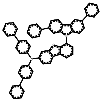 c1ccc(-c2ccc(N(c3ccc(-c4ccccc4)cc3)c3ccc4c(c3)sc3c(-n5c6ccc(-c7ccccc7)cc6c6ccc(-c7ccccc7)cc65)cccc34)cc2)cc1